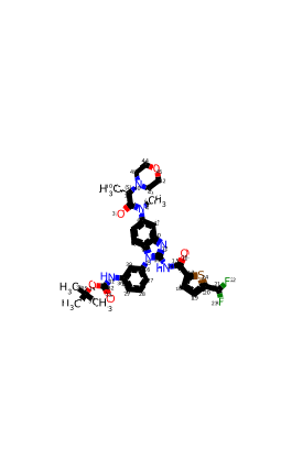 C[C@@H](C(=O)N(C)c1ccc2c(c1)nc(NC(=O)c1ccc(C(F)F)s1)n2-c1cccc(NC(=O)OC(C)(C)C)c1)N1CCOCC1